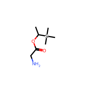 CC(OC(=O)CN)[Si](C)(C)C